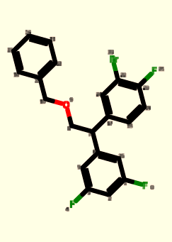 Fc1cc(F)cc(C(COCc2ccccc2)c2ccc(F)c(Br)c2)c1